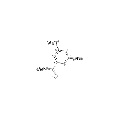 CNC(=O)c1cc(NC)cc(C(C)(C)C)c1